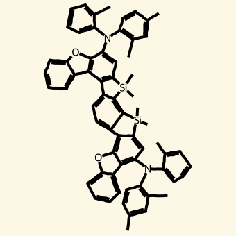 Cc1ccc(N(c2ccccc2C)c2cc3c(c4c2oc2ccccc24)-c2ccc4c(c2[Si]3(C)C)[Si](C)(C)c2cc(N(c3ccccc3C)c3ccc(C)cc3C)c3c(oc5ccccc53)c2-4)c(C)c1